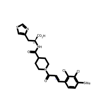 CSc1ccc(/C=C/C(=O)N2CCC(C(=O)N[C@@H](Cc3cscn3)C(=O)O)CC2)c(Cl)c1Cl